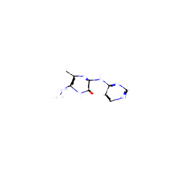 Cc1nc(Nc2ccncn2)c(=O)[nH]c1NC=O